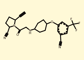 C#CC1CCC(C#N)N1C(=O)CNC1CCC(Oc2cc(C#N)cc(C(F)(F)F)c2)CC1